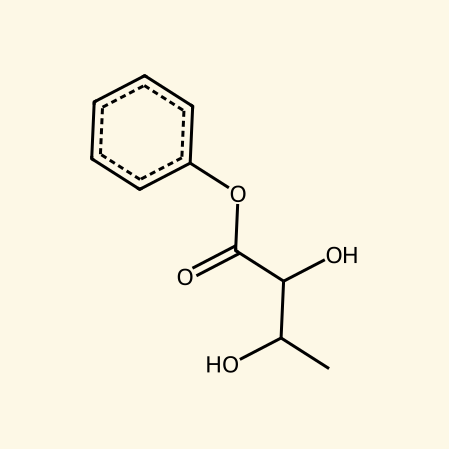 CC(O)C(O)C(=O)Oc1ccccc1